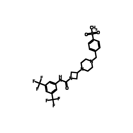 CS(=O)(=O)c1ccc(CN2CCN(C3CN(C(=O)Nc4cc(C(F)(F)F)cc(C(F)(F)F)c4)C3)CC2)cc1